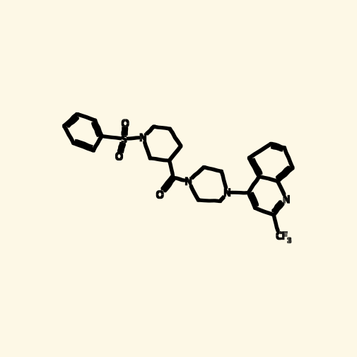 O=C(C1CCCN(S(=O)(=O)c2ccccc2)C1)N1CCN(c2cc(C(F)(F)F)nc3ccccc23)CC1